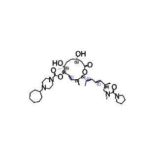 C/C(=C\C=C\[C@@H](C)CN(C)C(=O)N1CCCC1)[C@H]1OC(=O)C[C@@H](O)CC[C@](C)(O)[C@H](OC(=O)N2CCN(C3CCCCCC3)CC2)/C=C/[C@@H]1C